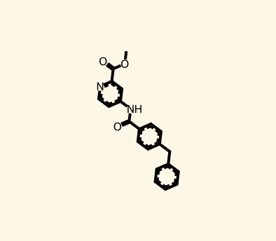 COC(=O)c1cc(NC(=O)c2ccc(Cc3ccccc3)cc2)ccn1